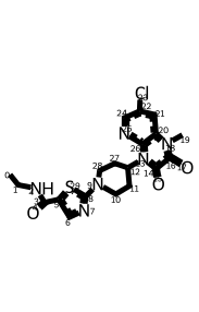 CCNC(=O)c1cnc(N2CCC(n3c(=O)c(=O)n(C)c4cc(Cl)cnc43)CC2)s1